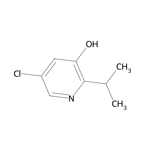 CC(C)c1ncc(Cl)cc1O